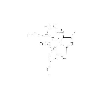 CCCCCOC(C(C)=O)(C(O)C(O)CO)[C@](OC(C)=O)(C(C)=O)C(=O)C(C)=O